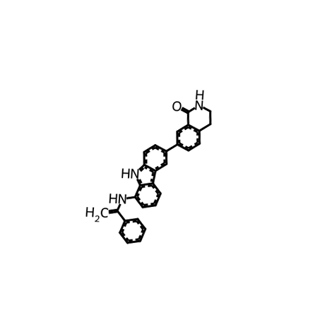 C=C(Nc1cccc2c1[nH]c1ccc(-c3ccc4c(c3)C(=O)NCC4)cc12)c1ccccc1